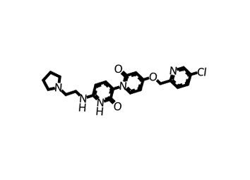 O=c1[nH]c(NCCN2CCCC2)ccc1-n1ccc(OCc2ccc(Cl)cn2)cc1=O